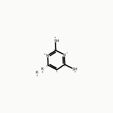 Sc1ccnc(S)n1.[K].[K]